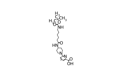 CC(C)(C)OC(=O)NCCCCCC(=O)NC1CCN(c2nc(C(=O)O)cs2)CC1